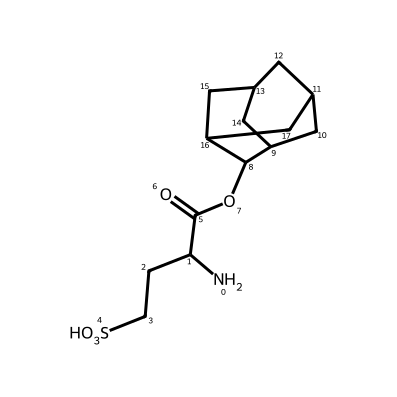 NC(CCS(=O)(=O)O)C(=O)OC1C2CC3CC(C2)CC1C3